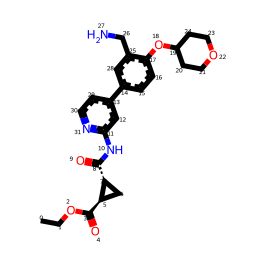 CCOC(=O)[C@@H]1C[C@H]1C(=O)Nc1cc(-c2ccc(OC3CCOCC3)c(CN)c2)ccn1